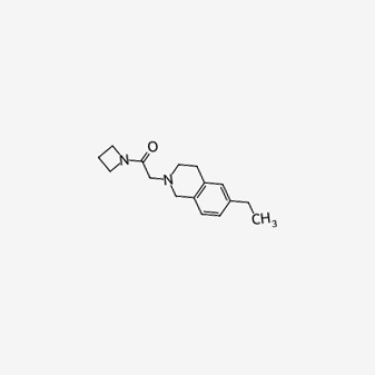 CCc1ccc2c(c1)CCN(CC(=O)N1CCC1)C2